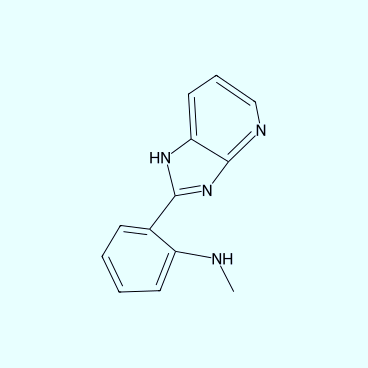 CNc1ccccc1-c1nc2ncccc2[nH]1